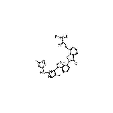 CCN(CC)C(=O)/C=C/c1cccc2c1CN(c1cccc3c(-c4nc(Nc5cc(C)n(C)n5)ncc4C)c[nH]c13)C2=O